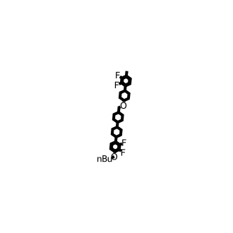 CCCCOc1ccc(C2CCC(C3CCC(COC4CCC(c5ccc(C)c(F)c5F)CC4)CC3)CC2)c(F)c1F